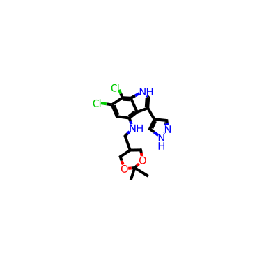 CC1(C)OCC(CNc2cc(Cl)c(Cl)c3[nH]cc(-c4cn[nH]c4)c23)CO1